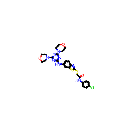 O=C(CSc1nc2ccc(Nc3nc(N4CCOCC4)nc(N4CCOCC4)n3)cc2s1)Nc1ccc(Cl)cc1